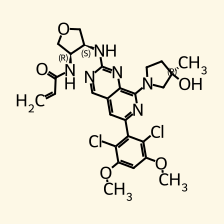 C=CC(=O)N[C@H]1COC[C@H]1Nc1ncc2cc(-c3c(Cl)c(OC)cc(OC)c3Cl)nc(N3CC[C@@](C)(O)C3)c2n1